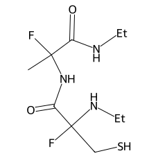 CCNC(=O)C(C)(F)NC(=O)C(F)(CS)NCC